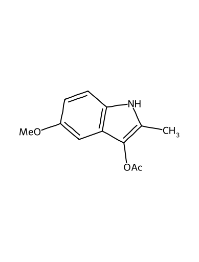 COc1ccc2[nH]c(C)c(OC(C)=O)c2c1